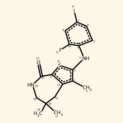 Cc1c(Nc2ccc(I)cc2F)sc2c1CC(C)(C)CNC2=O